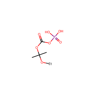 CCOC(C)(C)OC(=O)OP(=O)(O)O